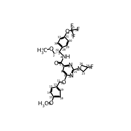 COC[C@@H](NC(=O)c1cc(OCc2ccc(OC)cc2)nc(N2CC(F)C2)n1)c1ccc(OC(F)(F)F)cc1